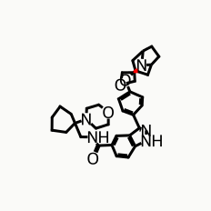 O=C(NCC1(N2CCOCC2)CCCCC1)c1ccc2[nH]nc(-c3ccc(OC4CC5CCC(C4)N5C4COC4)cc3)c2c1